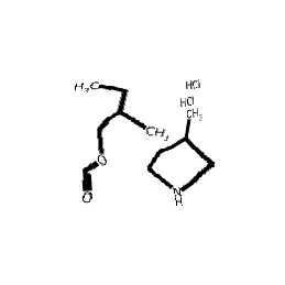 CC1CCNCC1.CCC(C)COC=O.Cl.Cl